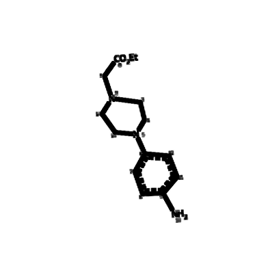 CCOC(=O)CN1CCN(c2ccc(N)cc2)CC1